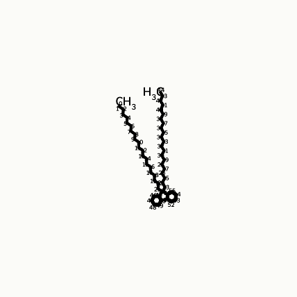 CCCCCCCCCCCCCCCCCCCCCCC1(CCCCCCCCCCCCCCCCCCCCCC)c2ccccc2-c2ccccc21